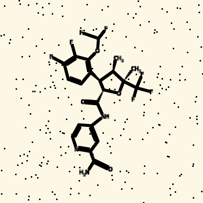 C[C@@H]1[C@H](c2ccc(F)c(F)c2OC(F)F)[C@@H](C(=O)Nc2ccnc(C(N)=O)c2)O[C@]1(C)C(F)(F)F